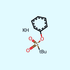 CC(C)(C)S(=O)(=O)Oc1ccccc1.[KH]